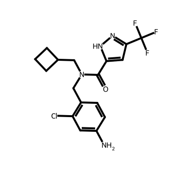 Nc1ccc(CN(CC2CCC2)C(=O)c2cc(C(F)(F)F)n[nH]2)c(Cl)c1